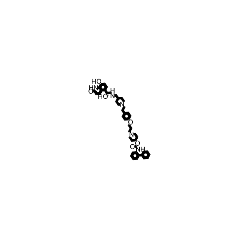 O=C(Nc1ccccc1-c1ccccc1)OC1CCN(CCCOc2ccc(CCN3CCC(CNC[C@H](O)c4ccc(O)c5[nH]c(=O)ccc45)CC3)cc2)CC1